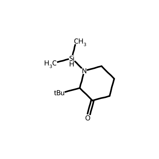 C[SiH](C)N1CCCC(=O)C1C(C)(C)C